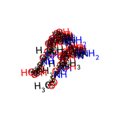 CC(=O)CC(=O)SCCNC(=O)CCNC(=O)[C@H](O)C(C)(C)COP(=O)(O)OP(=O)(O)OC[C@H]1O[C@@H](n2cnc3c(N)ncnc32)[C@H](O)[C@@H]1OP(=O)(O)O.CC(O)(CC(=O)O)CC(=O)SCCNC(=O)CCNC(=O)[C@H](O)C(C)(C)COP(=O)(O)OP(=O)(O)OC[C@H]1O[C@@H](n2cnc3c(N)ncnc32)[C@H](O)[C@@H]1OP(=O)(O)O